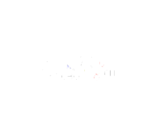 CS(=O)(=O)c1ccc(/C(C=O)=C/C2CCCCC2)s1